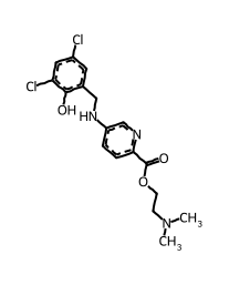 CN(C)CCOC(=O)c1ccc(NCc2cc(Cl)cc(Cl)c2O)cn1